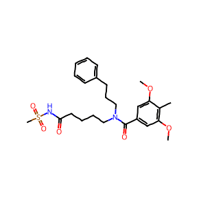 COc1cc(C(=O)N(CCCCC(=O)NS(C)(=O)=O)CCCc2ccccc2)cc(OC)c1C